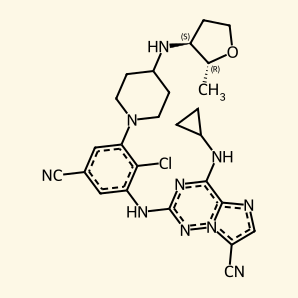 C[C@H]1OCC[C@@H]1NC1CCN(c2cc(C#N)cc(Nc3nc(NC4CC4)c4ncc(C#N)n4n3)c2Cl)CC1